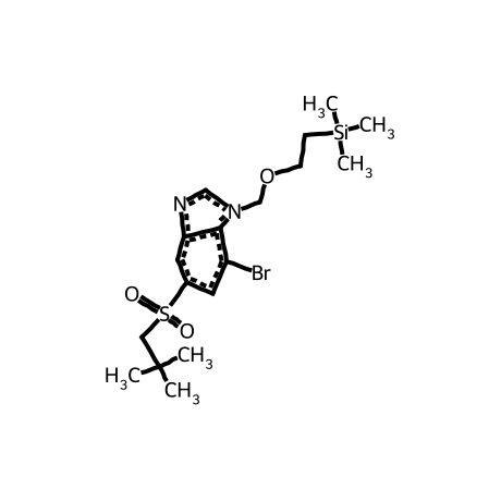 CC(C)(C)CS(=O)(=O)c1cc(Br)c2c(c1)ncn2COCC[Si](C)(C)C